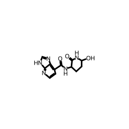 O=C(NC1CCC(O)NC1=O)c1ccnc2[nH]cnc12